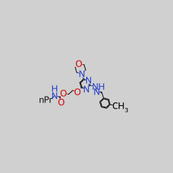 CCCNC(=O)OCCOc1cc(N2CCOCC2)nc(NN=Cc2cccc(C)c2)n1